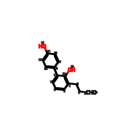 O=[C]CCc1cccc(-c2ccc(O)cc2)c1O